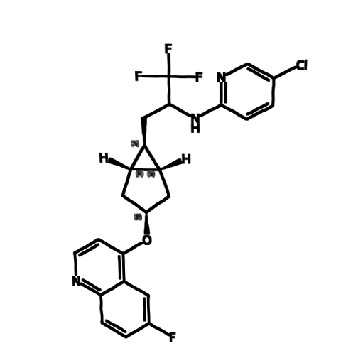 Fc1ccc2nccc(O[C@H]3C[C@@H]4[C@@H](CC(Nc5ccc(Cl)cn5)C(F)(F)F)[C@@H]4C3)c2c1